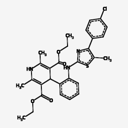 CCOC(=O)C1=C(C)NC(C)=C(C(=O)OCC)C1c1ccccc1Nc1nc(-c2ccc(Cl)cc2)c(C)s1